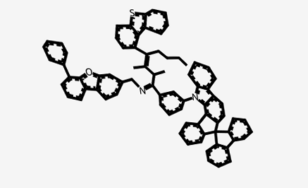 CCCC/C(=C(/C)C(C)/C(=N\Cc1ccc2c(c1)oc1c(-c3ccccc3)cccc12)c1cccc(-n2c3ccccc3c3ccc4c(c32)-c2ccccc2C42c3ccccc3-c3ccccc32)c1)c1cccc2sc3ccccc3c12